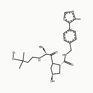 CCOC(C)(C)CCN[C@H](C(=O)C1C[C@H](O)C[C@H]1C(=O)NCc1ccc(-c2scnc2C)cc1)C(C)(C)C